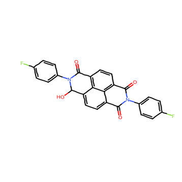 O=C1c2ccc3c4c(ccc(c24)C(=O)N1c1ccc(F)cc1)C(O)N(c1ccc(F)cc1)C3=O